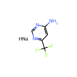 Nc1cc(C(F)(F)F)ncn1.[NaH]